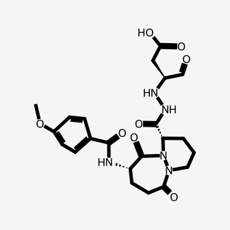 COc1ccc(C(=O)N[C@H]2CCC(=O)N3CCC[C@@H](C(=O)NN[C@H](C=O)CC(=O)O)N3C2=O)cc1